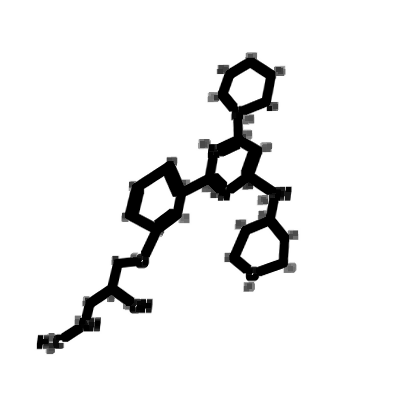 CNCC(O)COc1cccc(-c2nc(NC3CCOCC3)cc(N3CCCCC3)n2)c1